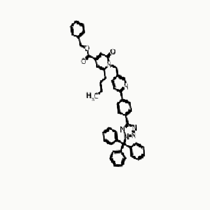 CCCCc1cc(C(=O)OCc2ccccc2)cc(=O)n1Cc1ccc(-c2ccc(-c3nnn(C(c4ccccc4)(c4ccccc4)c4ccccc4)n3)cc2)nc1